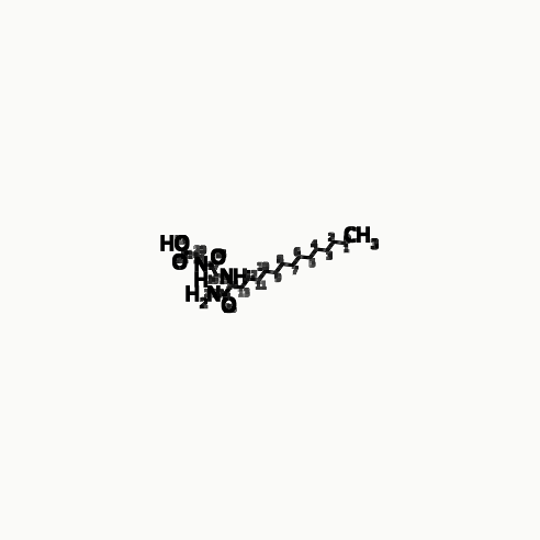 CCCCCCCCCCCCCCC(NCC(=O)NCC(=O)O)C(N)=O